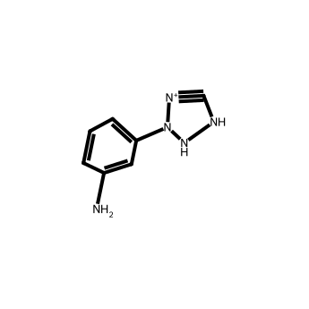 Nc1cccc(N2[N+]#CNN2)c1